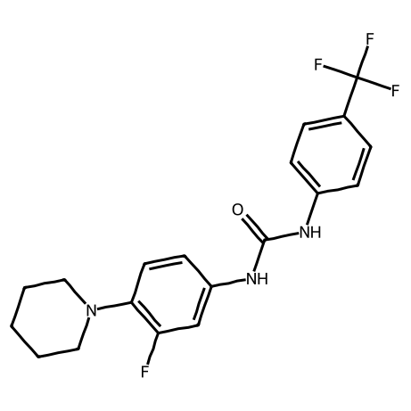 O=C(Nc1ccc(C(F)(F)F)cc1)Nc1ccc(N2CCCCC2)c(F)c1